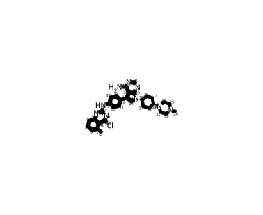 Cc1cccc2nc(Nc3ccc(-c4cn([C@H]5CC[C@@H](N6CCN(C)CC6)CC5)c5ncnc(N)c45)cc3)nc(Cl)c12